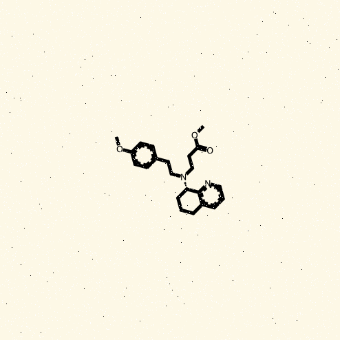 COC(=O)CCN(CCc1ccc(OC)cc1)[C@H]1CCCc2cccnc21